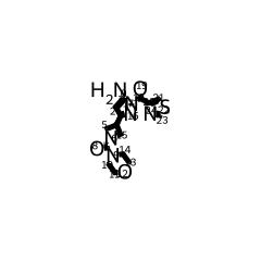 Nc1cc(C2CN(C(=O)N3CCOCC3)C2)nn1C(=O)c1cscn1